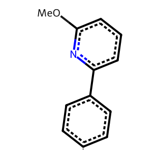 COc1cccc(-c2cc[c]cc2)n1